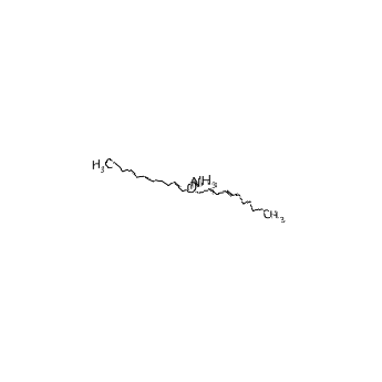 CCCCCCCCCCCOCCCCCCCCCCC.N